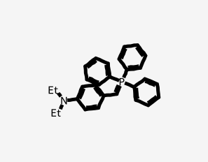 CCN(CC)c1ccc(C=P(c2ccccc2)(c2ccccc2)c2ccccc2)cc1